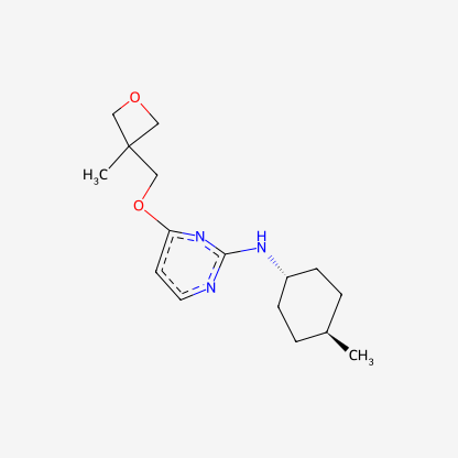 CC1(COc2ccnc(N[C@H]3CC[C@H](C)CC3)n2)COC1